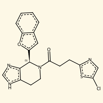 O=C(CCc1ncc(Cl)s1)N1CCc2[nH]cnc2[C@H]1c1cc2ccccc2o1